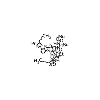 C=CCCCC1(S(=O)(=O)NC(=O)[C@@]2(NC(=O)[C@@H]3C[C@@H](Oc4nc5c(-c6nc(C(C)C)c(CCC=C)s6)cccc5n4C(C)C)CN3C(=O)[C@@H](NC(=O)OC(C)(C)C)C(C)(C)C)C[C@H]2CC)CC1